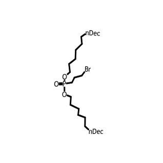 CCCCCCCCCCCCCCCCOP(=O)(CCCBr)OCCCCCCCCCCCCCCCC